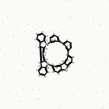 c1cc2cc(c1)c1cccc(c1)n1c3ccccc3c3c4c5ccccc5n(c5ccc6oc7ccc2cc7c6c5)c4ccc31